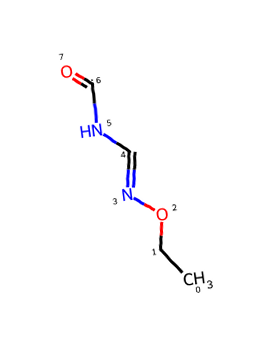 CCON=CN[C]=O